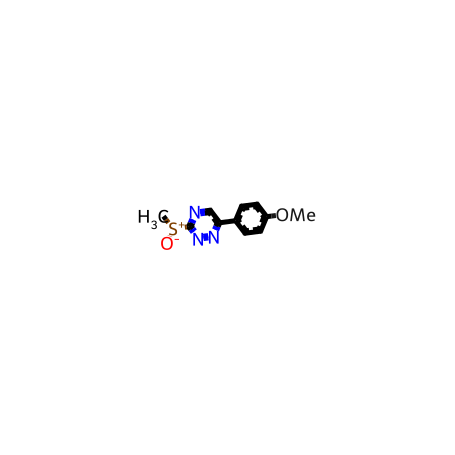 COc1ccc(-c2cnc([S+](C)[O-])nn2)cc1